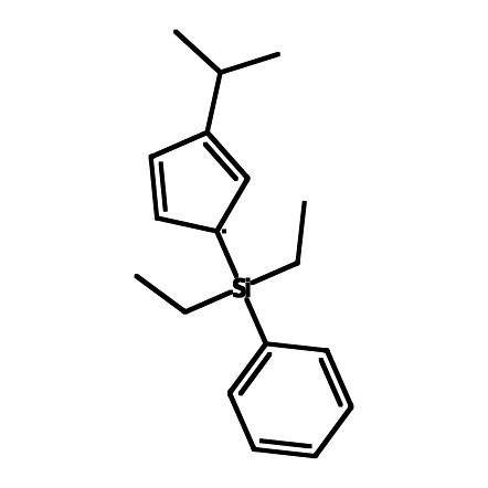 CC[Si](CC)([C]1C=CC(C(C)C)=C1)c1ccccc1